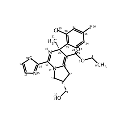 CCOC(=O)C1=C2C[C@H](CO)CN2C(c2nccs2)=N[C@@]1(C)c1ccc(F)cc1Cl